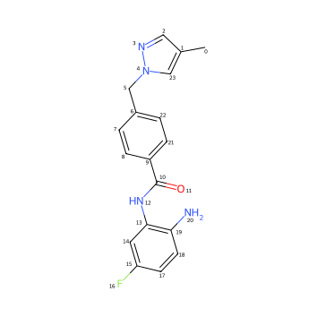 Cc1cnn(Cc2ccc(C(=O)Nc3cc(F)ccc3N)cc2)c1